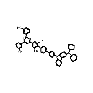 N#Cc1cccc(-c2cc(-c3cc(C#N)c(-c4ccc(-c5ccc(-n6c7ccccc7c7cc(N(c8ccccc8)c8ccccc8)ccc76)cc5)cc4)c(C#N)c3)nc(-c3cccc(C#N)c3)n2)c1